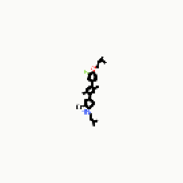 CCc1cc(-c2cc(C)c(-c3ccc(OCC=C(C)C)c(F)c3)cc2C)ccc1NCC=C(C)C